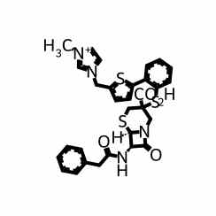 C[n+]1ccn(Cc2ccc(-c3ccccc3SC3(C(=O)O)CS[C@@H]4[C@H](NC(=O)Cc5ccccc5)C(=O)N4C3)s2)c1